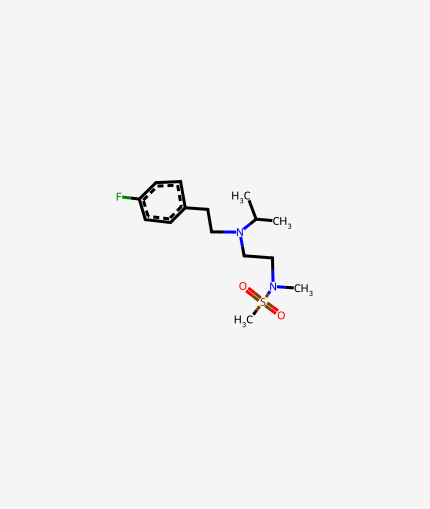 CC(C)N(CCc1ccc(F)cc1)CCN(C)S(C)(=O)=O